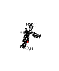 CC(C)C1=C2[C@H]3CC[C@@H]4[C@@]5(C)CC=C(C6=CC[C@](CF)(C(=O)O)CC6)C(C)(C)[C@@H]5CC[C@@]4(C)[C@]3(C)CC[C@@]2(N(CCN2CCS(O)(O)CC2)CCN2CCS(O)(O)CC2)CC1=O